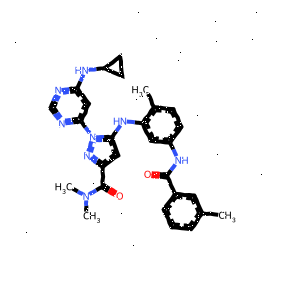 Cc1cccc(C(=O)Nc2ccc(C)c(Nc3cc(C(=O)N(C)C)nn3-c3cc(NC4CC4)ncn3)c2)c1